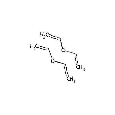 C=COC=C.C=COC=C